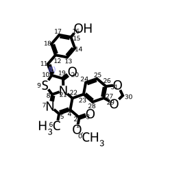 COC(=O)C1=C(C)N=c2s/c(=C/c3ccc(O)cc3)c(=O)n2C1c1ccc2c(c1)OCO2